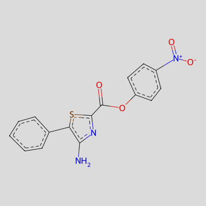 Nc1nc(C(=O)Oc2ccc([N+](=O)[O-])cc2)sc1-c1ccccc1